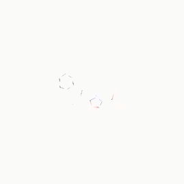 C/C(=C\c1ccccc1)c1nc(C(=O)O)co1